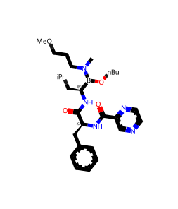 CCCCOB([C@H](CC(C)C)NC(=O)[C@H](Cc1ccccc1)NC(=O)c1cnccn1)N(C)CCCOC